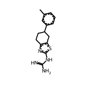 Cc1cccc(C2CCc3nc(NC(=N)N)sc3C2)c1